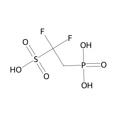 O=P(O)(O)CC(F)(F)S(=O)(=O)O